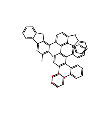 Cc1cc2c(c(-c3ccc4oc5ccccc5c4c3-c3ccc(-c4ccccc4)c(-c4ccccc4-c4ccccc4)c3-c3ccnnn3)c1C)Cc1ccccc1-2